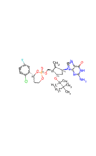 C=C1[C@H](CO[P@]2(=O)OCC[C@H](c3cc(F)ccc3Cl)O2)[C@@H](O[Si](C)(C)C(C)(C)C)C[C@@H]1n1cnc2c(=O)[nH]c(N)nc21